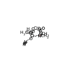 COCOc1cc(OCCCCN=[N+]=[N-])cc2c1C(=O)O[C@@H](C)[C@H](C)/C=C\C(OC(=O)c1ccccc1)C1OC(C)(C)O[C@H]1C/C=C/2